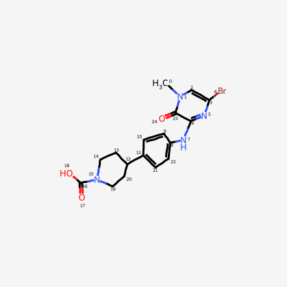 Cn1cc(Br)nc(Nc2ccc(C3CCN(C(=O)O)CC3)cc2)c1=O